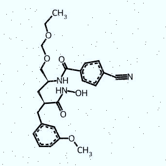 CCOCOC[C@H](C[C@H](Cc1cccc(OC)c1)C(=O)NO)NC(=O)c1ccc(C#N)cc1